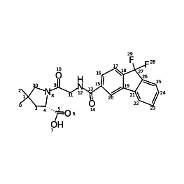 CC1(C)C[C@@H](C(=O)O)N(C(=O)CNC(=O)c2ccc3c(c2)-c2ccccc2C3(F)F)C1